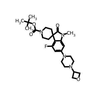 CN1C(=O)C2(CCN(C(=O)OC(C)(C)C)CC2)c2c(F)cc(N3CCN(C4COC4)CC3)cc21